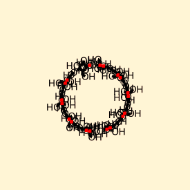 OCC1O[C@H]2OO[C@@H]3C(CO)O[C@H](OO[C@@H]4C(CO)O[C@H](OO[C@@H]5C(CO)O[C@H](OO[C@@H]6C(CO)O[C@H](OO[C@@H]7C(CO)O[C@H](OO[C@@H]8C(CO)O[C@H](OO[C@@H]9C(CO)O[C@H](OO[C@@H]%10C(CO)O[C@H](OO[C@@H]%11C(CO)O[C@H](OO[C@H]1[C@H](O)C2O)C(O)[C@H]%11O)C(O)[C@H]%10O)C(O)[C@H]9O)C(O)[C@H]8O)C(O)[C@H]7O)C(O)[C@H]6O)C(O)[C@H]5O)C(O)[C@H]4O)C(O)[C@H]3O